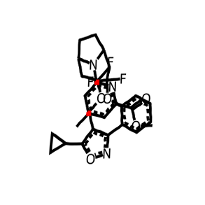 COC(=O)c1cc(C)cc(N2C3CCC2CC(OCc2c(-c4ccccc4OC(F)(F)F)noc2C2CC2)C3)n1